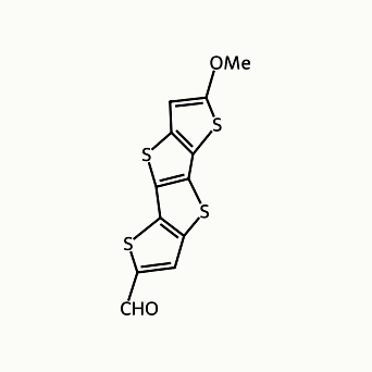 COc1cc2sc3c4sc(C=O)cc4sc3c2s1